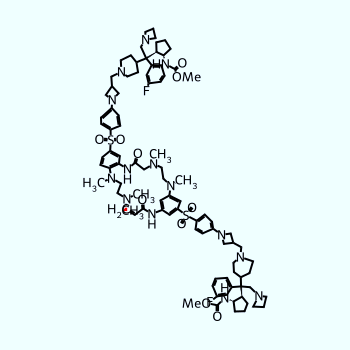 C=CC(=O)Nc1cc(N(C)CCN(C)CC(=O)Nc2cc(S(=O)(=O)c3ccc(N4CC(CN5CCC(C(CN6CCC6)(c6cccc(F)c6)[C@H]6CCC[C@@H]6NC(=O)OC)CC5)C4)cc3)ccc2N(C)CCN(C)C)cc(S(=O)(=O)c2ccc(N3CC(CN4CCC(C(CN5CCC5)(c5cccc(F)c5)[C@H]5CCC[C@@H]5NC(=O)OC)CC4)C3)cc2)c1